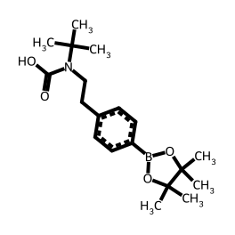 CC(C)(C)N(CCc1ccc(B2OC(C)(C)C(C)(C)O2)cc1)C(=O)O